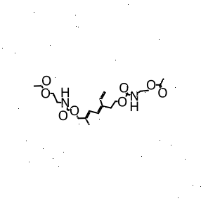 C=C/C(=C\C=C(/C)COC(=O)NCCOC(C)=O)CCOC(=O)NCCOC(C)=O